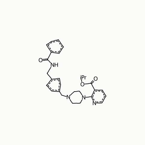 CC(C)OC(=O)c1cccnc1N1CCN(Cc2ccc(CNC(=O)c3ccccc3)cc2)CC1